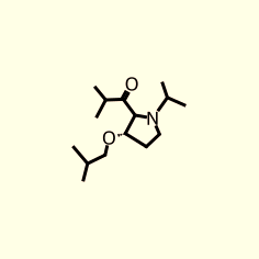 CC(C)CO[C@H]1CCN(C(C)C)C1C(=O)C(C)C